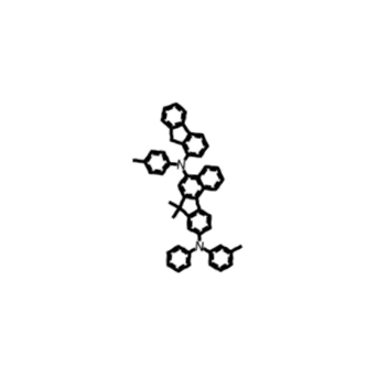 Cc1ccc(N(c2cccc3c2Cc2ccccc2-3)c2cc3c(c4ccccc24)-c2ccc(N(c4ccccc4)c4cccc(C)c4)cc2C3(C)C)cc1